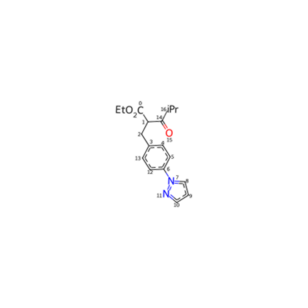 CCOC(=O)C(Cc1ccc(-n2cccn2)cc1)C(=O)C(C)C